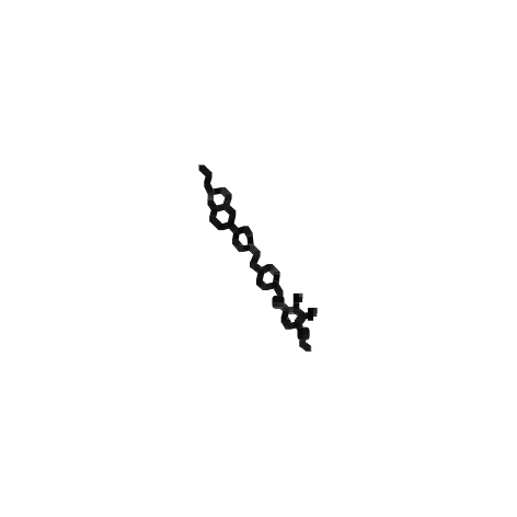 CCCC1CCC2CC(C3CCC(CCC4CCC(COc5ccc(OCC)c(F)c5F)CC4)CC3)CCC2C1